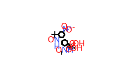 CC(=O)Nc1ccccc1[As](=O)(O)OO.CC1(C)C(=O)Nc2ccc([N+](=O)[O-])cc21